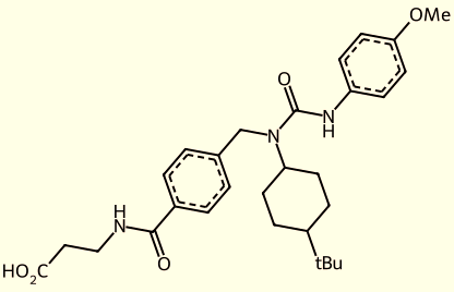 COc1ccc(NC(=O)N(Cc2ccc(C(=O)NCCC(=O)O)cc2)C2CCC(C(C)(C)C)CC2)cc1